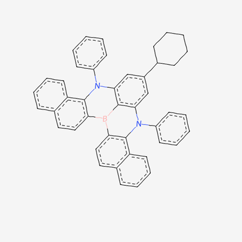 c1ccc(N2c3cc(C4CCCCC4)cc4c3B(c3ccc5ccccc5c32)c2ccc3ccccc3c2N4c2ccccc2)cc1